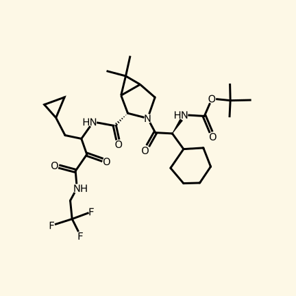 CC(C)(C)OC(=O)N[C@H](C(=O)N1CC2C([C@H]1C(=O)NC(CC1CC1)C(=O)C(=O)NCC(F)(F)F)C2(C)C)C1CCCCC1